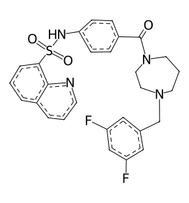 O=C(c1ccc(NS(=O)(=O)c2cccc3cccnc23)cc1)N1CCCN(Cc2cc(F)cc(F)c2)CC1